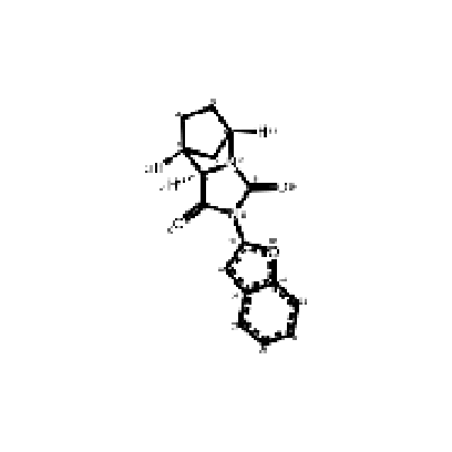 O=C1[C@H]2[C@@H]3CC[C@@H](C3)N2C(=O)N1c1cc2ccccc2o1